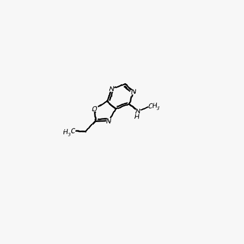 CCc1nc2c(NC)ncnc2o1